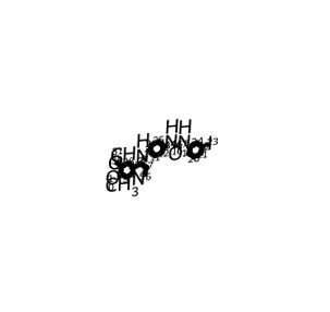 COc1cc2nccc(Nc3ccc(NC(=O)Nc4cccc(I)c4)cc3)c2cc1OC